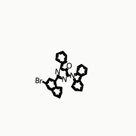 Brc1cc(-c2nc(-n3c4ccccc4c4ccccc43)c3oc4ccccc4c3n2)c2ccccc2c1